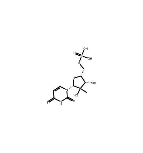 CC1(O)[C@@H](O)[C@@H](COP(=O)(O)O)O[C@H]1n1ccc(=S)[nH]c1=O